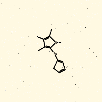 Cc1c(C)[c]([Ru][C]2=CC=CC2)n(C)c1C